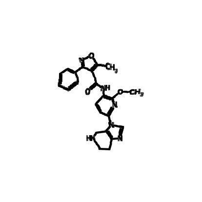 COc1nc(-n2cnc3c2CNCC3)ccc1NC(=O)c1c(-c2ccccc2)noc1C